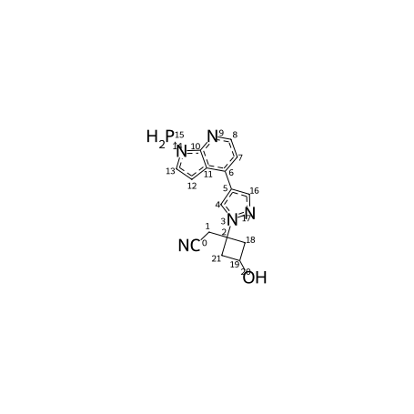 N#CCC1(n2cc(-c3ccnc4c3ccn4P)cn2)CC(O)C1